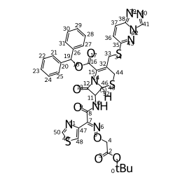 CC(C)(C)OC(=O)CON=C(C(=O)NC1C(=O)N2C(C(=O)OC(c3ccccc3)c3ccccc3)=C(CSc3ccc4nncn4n3)CS[C@@H]12)c1cscn1